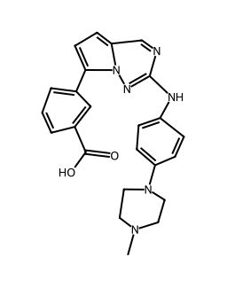 CN1CCN(c2ccc(Nc3ncc4ccc(-c5cccc(C(=O)O)c5)n4n3)cc2)CC1